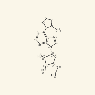 NC1CCOC1c1ncnc2c1ncn2[C@@H]1O[C@H](CO)[C@@H](O)[C@H]1O